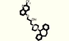 OC(COc1cccc2nc(C(F)(F)F)ccc12)CN1CCN(C2c3ccccc3CCc3ccccc32)CC1